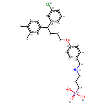 Cc1ccc(C(CCCOc2ccc(CNCCCP(=O)(O)O)cc2)c2cccc(Cl)c2)cc1C